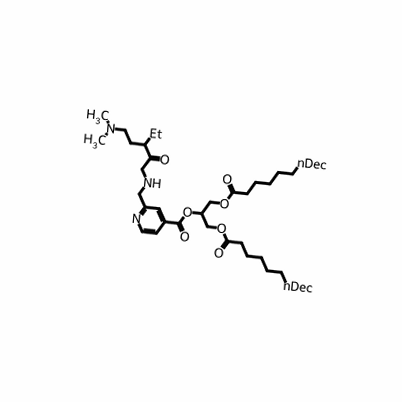 CCCCCCCCCCCCCCCC(=O)OCC(COC(=O)CCCCCCCCCCCCCCC)OC(=O)c1ccnc(CNCC(=O)C(CC)CCN(C)C)c1